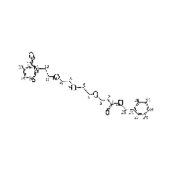 O=C(CCOCCOCCOCCn1sccc1=O)OCc1ccccc1